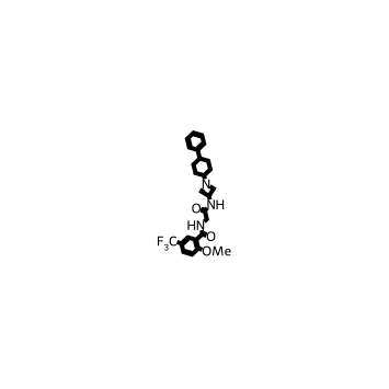 COc1ccc(C(F)(F)F)cc1C(=O)NCC(=O)NC1CN(C2CCC(c3ccccc3)CC2)C1